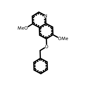 COc1cc2nccc(OC)c2cc1OCc1ccccc1